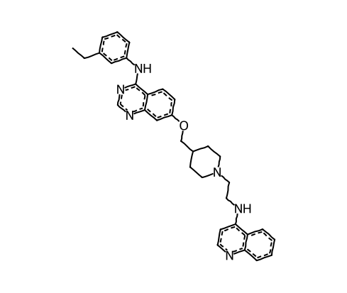 CCc1cccc(Nc2ncnc3cc(OCC4CCN(CCNc5ccnc6ccccc56)CC4)ccc23)c1